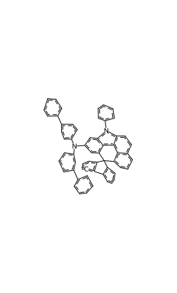 c1ccc(-c2ccc(N(c3cccc(-c4ccccc4)c3)c3cc4c5c6c7c(cccc7ccc6n(-c6ccccc6)c5c3)C43c4ccccc4-c4ccccc43)cc2)cc1